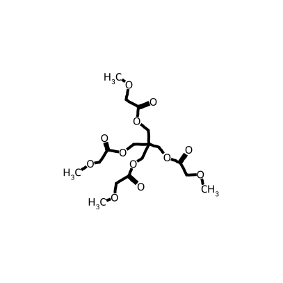 COCC(=O)OCC(COC(=O)COC)(COC(=O)COC)COC(=O)COC